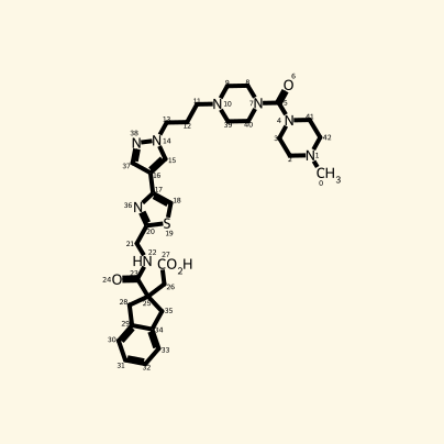 CN1CCN(C(=O)N2CCN(CCCn3cc(-c4csc(CNC(=O)C5(CC(=O)O)Cc6ccccc6C5)n4)cn3)CC2)CC1